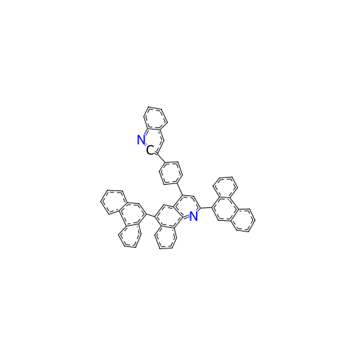 c1ccc2ncc(-c3ccc(-c4cc(-c5cc6ccccc6c6ccccc56)nc5c4cc(-c4cc6ccccc6c6ccccc46)c4ccccc45)cc3)cc2c1